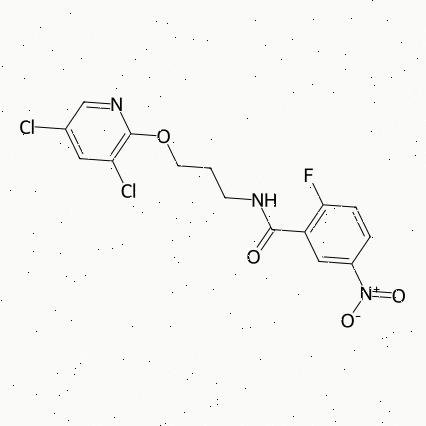 O=C(NCCCOc1ncc(Cl)cc1Cl)c1cc([N+](=O)[O-])ccc1F